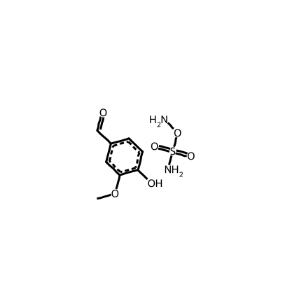 COc1cc(C=O)ccc1O.NOS(N)(=O)=O